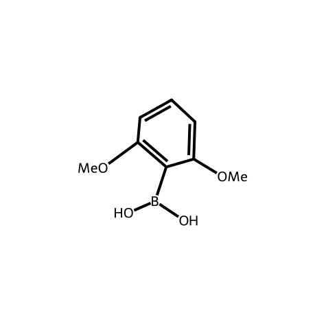 COc1cccc(OC)c1B(O)O